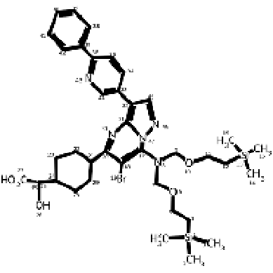 C[Si](C)(C)CCOCN(COCC[Si](C)(C)C)c1c(Br)c(C2CCC([C@@H](O)C(=O)O)CC2)nc2c(-c3ccc(-c4ccccc4)nc3)cnn12